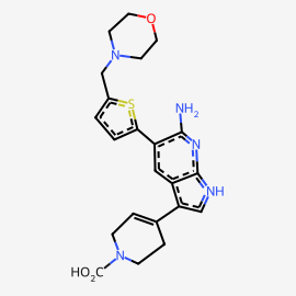 Nc1nc2[nH]cc(C3=CCN(C(=O)O)CC3)c2cc1-c1ccc(CN2CCOCC2)s1